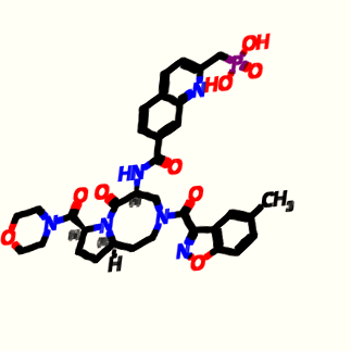 Cc1ccc2onc(C(=O)N3CC[C@H]4CC[C@@H](C(=O)N5CCOCC5)N4C(=O)[C@@H](NC(=O)c4ccc5ccc(CP(=O)(O)O)nc5c4)C3)c2c1